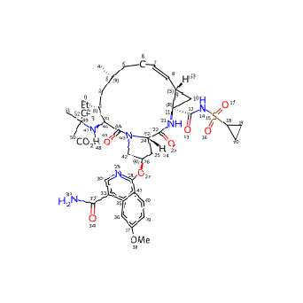 CC[C@@H]1C[C@H](C)CCC=C[C@@H]2C[C@@]2(C(=O)NS(=O)(=O)C2CC2)NC(=O)[C@@H]2C[C@@H](Oc3ncc(C(N)=O)c4cc(OC)ccc34)CN2C(=O)[C@H]1N(C(=O)O)C(C)(C)C(F)(F)F